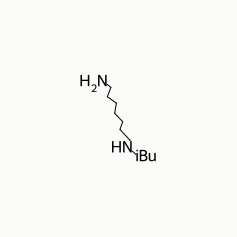 CCC(C)NCCCCCCCN